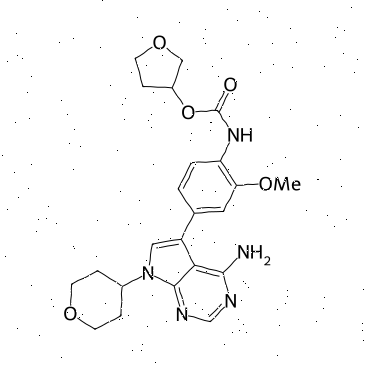 COc1cc(-c2cn(C3CCOCC3)c3ncnc(N)c23)ccc1NC(=O)OC1CCOC1